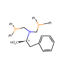 CC(C)P(CN(CP(C(C)C)C(C)C)[C@@H](Cc1ccccc1)C(=O)O)C(C)C